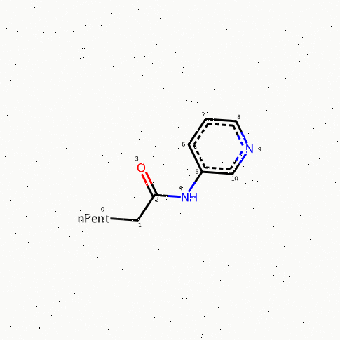 CCCCCCC(=O)Nc1cccnc1